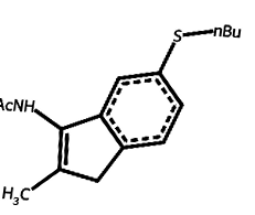 CCCCSc1ccc2c(c1)C(NC(C)=O)=C(C)C2